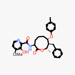 COc1ccnc(C(=O)NC2CCC[C@H](Oc3ccc(C)cc3)[C@@H](Cc3ccccc3)[C@H](C)OC2=O)c1O